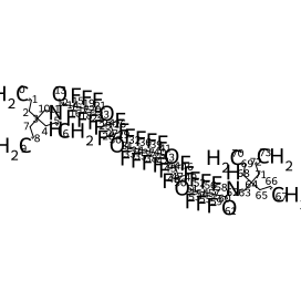 C=CCC(CC=C)(CC=C)CNC(=O)C(F)(F)C(F)(F)C(F)(F)OC(F)(F)C(F)(F)OC(F)(F)C(F)(F)C(F)(F)C(F)(F)OC(F)(F)C(F)(F)OC(F)(F)C(F)(F)C(F)(F)C(=O)NCC(CC=C)(CC=C)CC=C